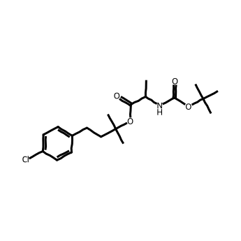 CC(NC(=O)OC(C)(C)C)C(=O)OC(C)(C)CCc1ccc(Cl)cc1